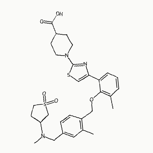 Cc1cc(CN(C)C2CCS(=O)(=O)C2)ccc1COc1c(C)cccc1-c1csc(N2CCC(C(=O)O)CC2)n1